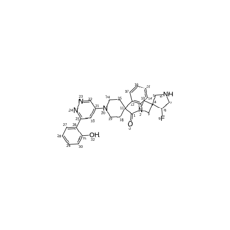 O=C(N1CC2(CNCC2F)C1)C1(c2ccccc2)CCN(c2cnnc(-c3ccccc3O)c2)CC1